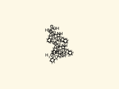 COc1ccccc1CO[C@H]1CN[C@H](C(=O)O[C@@H]2[C@@H](OCc3ccccc3C)CN[C@@H]2C(=O)O[C@@H]2[C@@H](OCc3ccccc3Br)CN[C@@H]2C(=O)O[C@@H]2[C@@H](OCc3ccccc3F)CN[C@@H]2C(=O)O[C@@H]2[C@@H](OCc3ccccc3Cl)CN[C@@H]2C(=O)O)[C@@H]1O